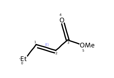 C[CH]/C=C/C(=O)OC